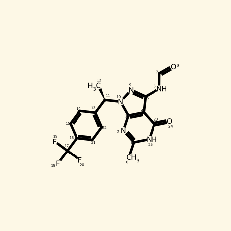 Cc1nc2c(c(NC=O)nn2[C@H](C)c2ccc(C(F)(F)F)cc2)c(=O)[nH]1